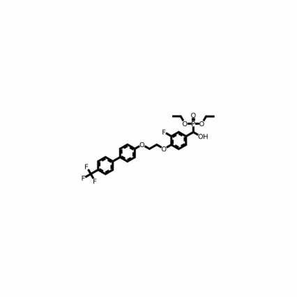 CCOP(=O)(OCC)C(O)c1ccc(OCCOc2ccc(-c3ccc(C(F)(F)F)cc3)cc2)c(F)c1